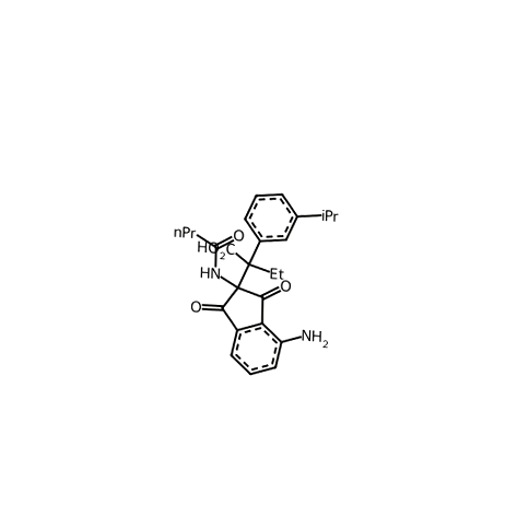 CCCC(=O)NC1(C(CC)(C(=O)O)c2cccc(C(C)C)c2)C(=O)c2cccc(N)c2C1=O